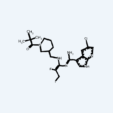 CC(C)(C)C(=O)N1CCCC(CNC(/N=C(\N)c2c[nH]c3ncc(Cl)cc23)=C(\F)CI)C1